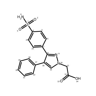 NS(=O)(=O)c1ccc(-c2nn(CC(=O)O)cc2-c2ccccc2)cc1